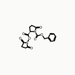 O=C(ON1C(=O)CCC1=O)[C@H]1CCC(=O)N1C(=O)OCc1ccccc1